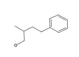 CC(C[O])CCc1ccccc1